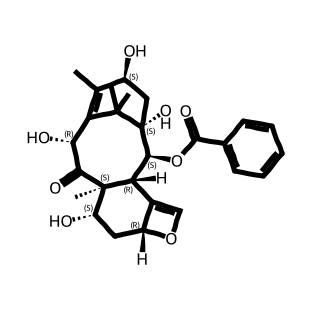 CC1=C2[C@@H](O)C(=O)[C@]3(C)[C@@H](O)C[C@H]4OC=C4[C@H]3[C@H](OC(=O)c3ccccc3)[C@](O)(C[C@@H]1O)C2(C)C